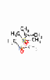 CCCCCCCCSN(CC(=O)[O-])SCCCCCCCC.CCCCCCCCSN(CC(=O)[O-])SCCCCCCCC.CCCCCCC[CH2][Sn+2][CH2]CCCCCCC